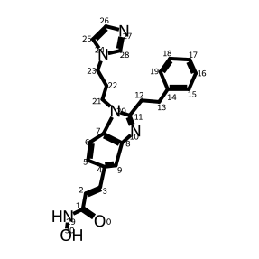 O=C(C=Cc1ccc2c(c1)nc(CCc1ccccc1)n2CCCn1ccnc1)NO